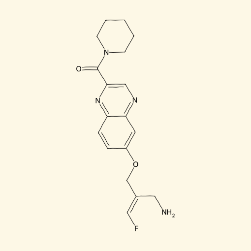 NC/C(=C\F)COc1ccc2nc(C(=O)N3CCCCC3)cnc2c1